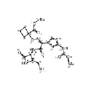 CCCCOC(=O)C1(O/N=C(\C(=O)N[C@@H]2C(=O)N[C@@H]2CN)c2csc(NC(=O)OC(C)(C)C)n2)CCC1